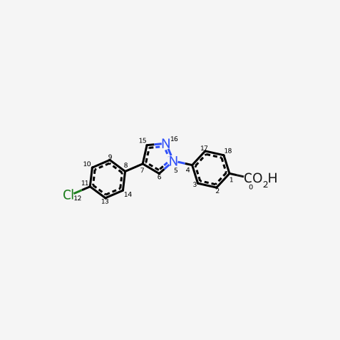 O=C(O)c1ccc(-n2cc(-c3ccc(Cl)cc3)cn2)cc1